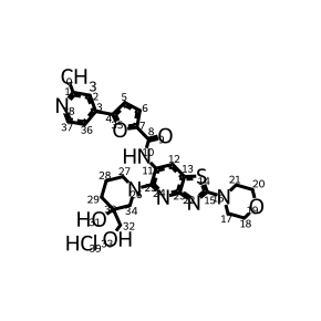 Cc1cc(-c2ccc(C(=O)Nc3cc4sc(N5CCOCC5)nc4nc3N3CCCC(O)(CO)C3)o2)ccn1.Cl